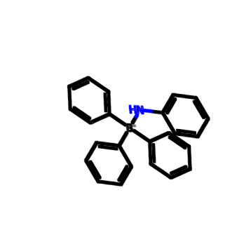 c1ccc(N[B-](c2ccccc2)(c2ccccc2)c2ccccc2)cc1